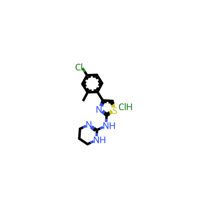 Cc1cc(Cl)ccc1-c1csc(NC2=NCCCN2)n1.Cl